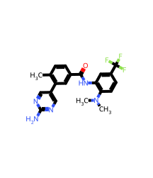 Cc1ccc(C(=O)Nc2cc(C(F)(F)F)ccc2N(C)C)cc1-c1cnc(N)nc1